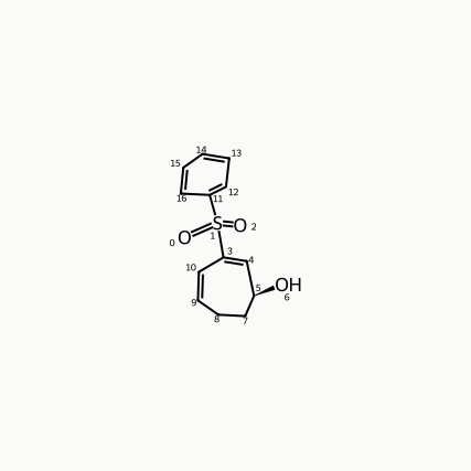 O=S(=O)(C1=C[C@@H](O)CCC=C1)c1ccccc1